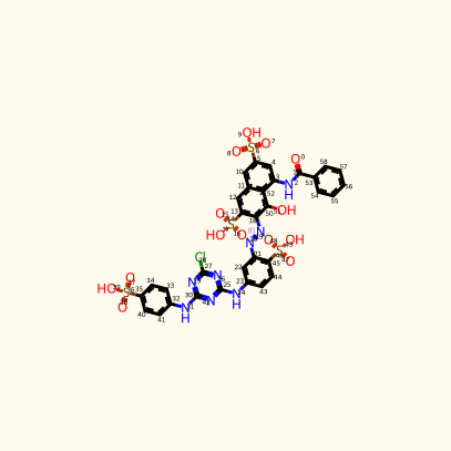 O=C(Nc1cc(S(=O)(=O)O)cc2cc(S(=O)(=O)O)c(/N=N/c3cc(Nc4nc(Cl)nc(Nc5ccc(S(=O)(=O)O)cc5)n4)ccc3S(=O)(=O)O)c(O)c12)c1ccccc1